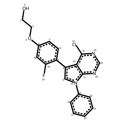 OCCOc1ccc(-c2cn(-c3ccccc3)c3ncnc(Cl)c23)c(F)c1